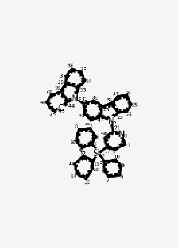 c1ccc([Si](c2ccccc2)(c2ccccc2)c2ccnc(-n3c4ccccc4c4cc(-n5c6ccccc6c6ccccc65)ccc43)c2)cc1